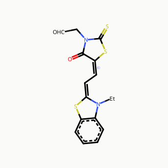 CCN1C(=C/C=C2/SC(=S)N(CC=O)C2=O)Sc2ccccc21